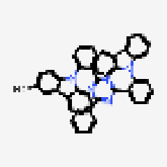 N#Cc1ccc2c(c1)c1ccccc1n2-c1ccccc1-c1nc(-c2ccccc2)nc(-c2ccccc2-n2c3ccccc3c3ccccc32)n1